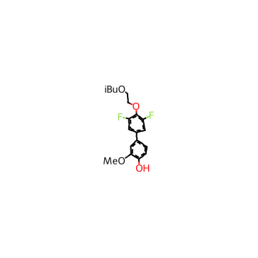 COc1cc(-c2cc(F)c(OCCOCC(C)C)c(F)c2)ccc1O